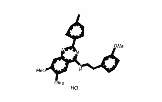 COc1cccc(CCNc2nc(-c3ccc(C)cc3)nc3cc(OC)c(OC)cc23)c1.Cl